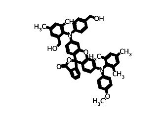 COc1ccc(N(c2ccc3c(c2)Oc2cc(N(c4ccc(CO)cc4)c4c(C)cc(C)cc4CO)ccc2C32OC(=O)c3ccccc32)c2c(C)cc(C)cc2C)cc1